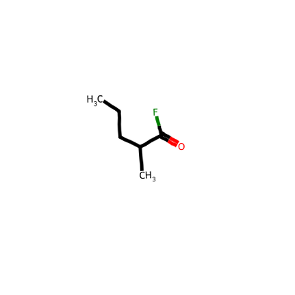 CCCC(C)C(=O)F